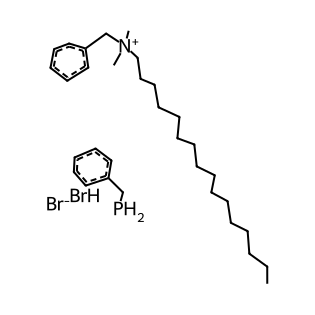 Br.CCCCCCCCCCCCCCCC[N+](C)(C)Cc1ccccc1.PCc1ccccc1.[Br-]